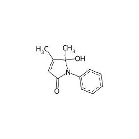 CC1=CC(=O)N(c2ccccc2)C1(C)O